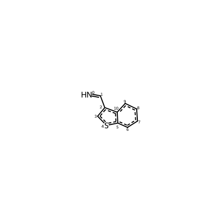 N=Cc1csc2ccccc12